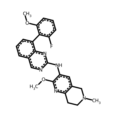 COc1cccc(F)c1-c1cccc2cnc(Nc3cc4c(nc3OC)CCN(C)C4)nc12